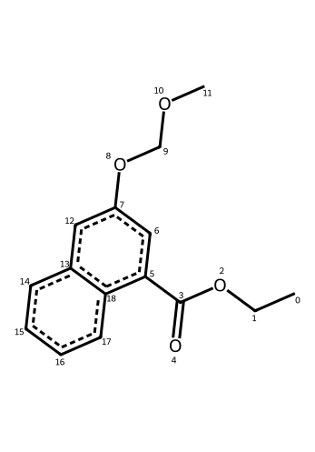 CCOC(=O)c1cc(OCOC)cc2ccccc12